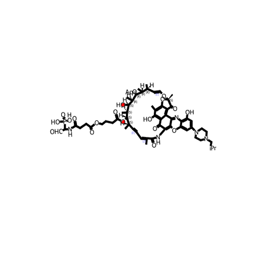 CC(=O)O[C@H]1[C@H](C)[C@H](O)[C@H](C)[C@@H](OC(=O)CCCOC(=O)CCC(=O)NC(C=O)P(=O)(O)O)[C@@H](C)/C=C/C=C(/C)C(=O)Nc2c3oc4cc(N5CCN(CC(C)C)CC5)cc(O)c4nc-3c3c4c(c(C)c(O)c3c2=O)O[C@](C)(O/C=C/[C@H](C)[C@H]1C)C4=O